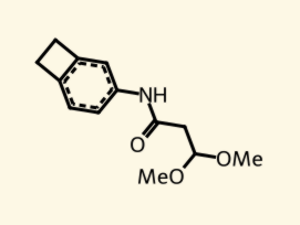 COC(CC(=O)Nc1ccc2c(c1)CC2)OC